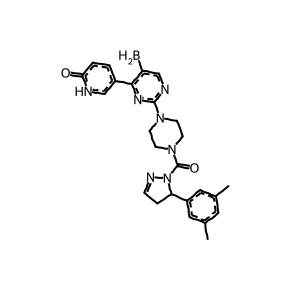 Bc1cnc(N2CCN(C(=O)N3N=CCC3c3cc(C)cc(C)c3)CC2)nc1-c1ccc(=O)[nH]c1